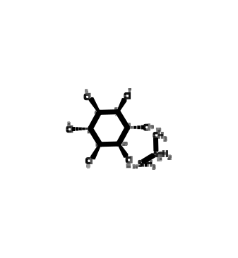 Cl[C@H]1[C@H](Cl)[C@@H](Cl)[C@@H](Cl)[C@H](Cl)[C@H]1Cl.[CH3][SnH2][SnH3]